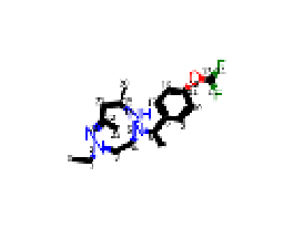 CCN1CCN(C(C)c2ccc(OC(F)F)cc2)N[C@H](C)C/C(C)=N/1